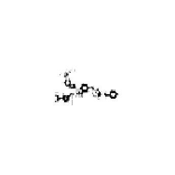 C[C@H](N(CC(=O)OCc1ccccc1)Cc1ccc2c(c1)nc(NC(=O)c1ccc(C(F)F)s1)n2[C@H]1C[C@@]2(CCN(C(=O)OC(C)(C)C)C2)C1)C(C)(C)C